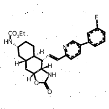 CCOC(=O)N[C@@H]1CC[C@@H]2[C@@H](C1)C[C@H]1OC(=O)N[C@H]1[C@H]2/C=C/c1ccc(-c2cccc(F)c2)cn1